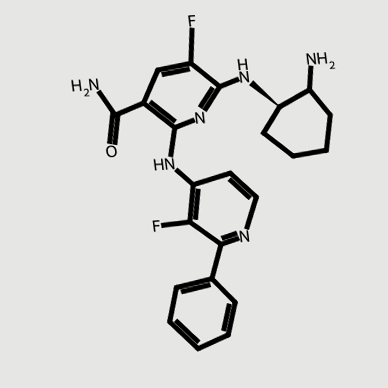 NC(=O)c1cc(F)c(N[C@@H]2CCCCC2N)nc1Nc1ccnc(-c2ccccc2)c1F